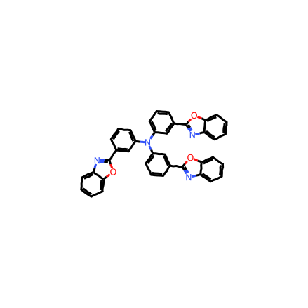 c1cc(-c2nc3ccccc3o2)cc(N(c2cccc(-c3nc4ccccc4o3)c2)c2cccc(-c3nc4ccccc4o3)c2)c1